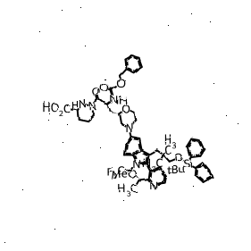 CO[C@@H](C)c1ncccc1-c1c(CC(C)(C)CO[Si](c2ccccc2)(c2ccccc2)C(C)(C)C)c2cc(N3CCO[C@@H](C[C@H](NC(=O)OCc4ccccc4)C(=O)N4CCC[C@@H](C(=O)O)N4)C3)ccc2n1CC(F)(F)F